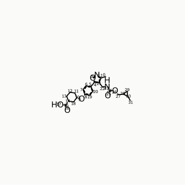 Cc1noc(-c2ccc(O[C@H]3CCC[C@H](C(=O)O)C3)cc2)c1CNC(=O)OCC1CC1C